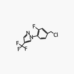 Fc1cc(CCl)ccc1-n1cc(C(F)(F)F)cn1